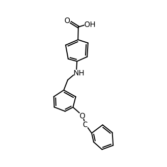 O=C(O)c1ccc(NCc2cccc(OCc3ccccc3)c2)cc1